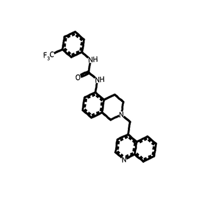 O=C(Nc1cccc(C(F)(F)F)c1)Nc1cccc2c1CCN(Cc1ccnc3ccccc13)C2